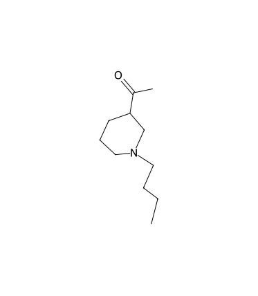 CCCCN1CCCC(C(C)=O)C1